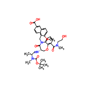 COc1ccc2cc(C(=O)O)ccc2c1CN1C(=O)[C@@H](NC[C@H](C)N(C)C(=O)OC(C)(C)C)COc2c(C(=O)N(C)CCO)cccc21